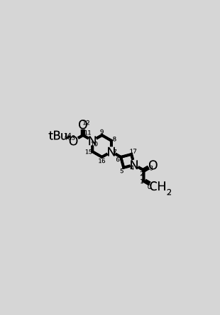 C=CC(=O)N1CC(N2CCN(C(=O)OC(C)(C)C)CC2)C1